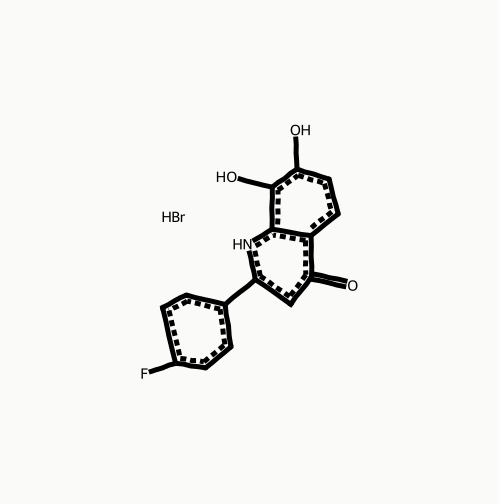 Br.O=c1cc(-c2ccc(F)cc2)[nH]c2c(O)c(O)ccc12